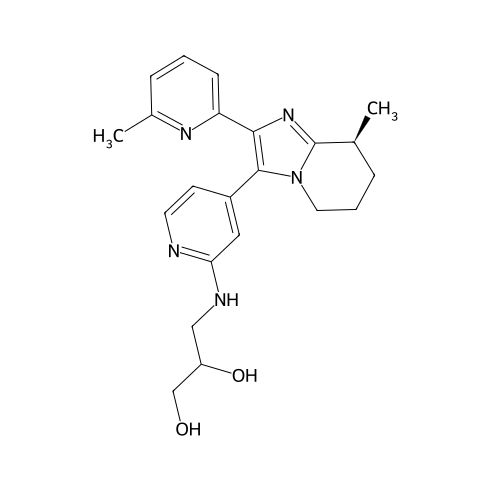 Cc1cccc(-c2nc3n(c2-c2ccnc(NCC(O)CO)c2)CCC[C@@H]3C)n1